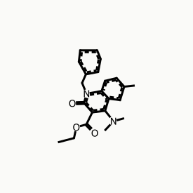 CCOC(=O)c1c(N(C)C)c2cc(C)ccc2n(Cc2ccccc2)c1=O